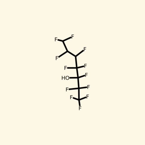 OC(F)(C(F)(F)C(F)C(F)C(F)F)C(F)(F)C(F)(F)F